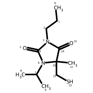 CCCN1C(=O)N(C(C)C)C(C)(CS)C1=O